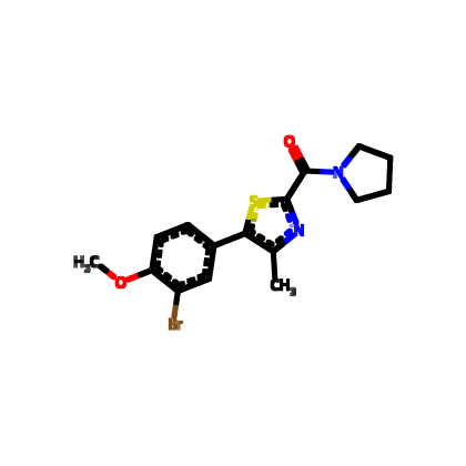 COc1ccc(-c2sc(C(=O)N3CCCC3)nc2C)cc1Br